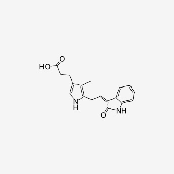 Cc1c(CCC(=O)O)c[nH]c1CC=C1C(=O)Nc2ccccc21